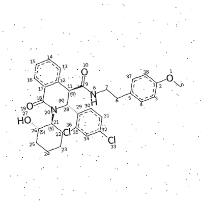 COc1ccc(CCNC(=O)[C@@H]2c3ccccc3C(=O)N([C@H]3CCCC[C@@H]3O)[C@H]2c2ccc(Cl)cc2Cl)cc1